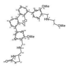 COCCNCc1ncc(-c2cccc(-c3cccc(-c4cnc(CNCC5CCC(=O)N5)c(OC)n4)c3Cl)c2Cl)nc1OC